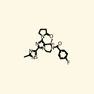 Cc1nsc(-c2nc(N3CCCC3=O)c3n2CCN(C(=O)c2ccc(F)cc2)[C@@H]3C)n1